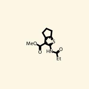 CCC(=O)Nc1sc2c(c1C(=O)OC)CCC2